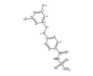 CS(=O)(=O)NC(=O)c1ccc(OCc2cc(F)cc(F)c2)cc1